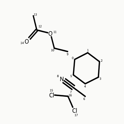 C1CCCCC1.CC#N.CCOC(C)=O.ClCCl